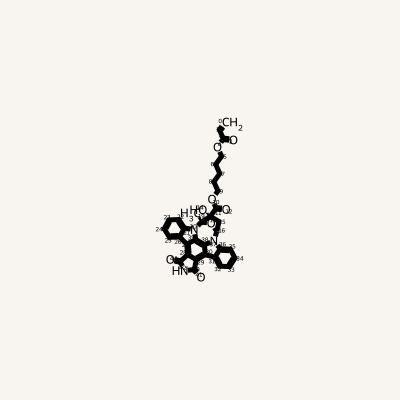 C=CC(=O)OCCCCCOC(=O)[C@@]1(O)CC2O[C@]1(C)n1c3ccccc3c3c4c(c5c6ccccc6n2c5c31)C(=O)NC4=O